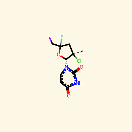 C[C@@]1(Cl)C[C@@](F)(CI)O[C@H]1n1ccc(=O)[nH]c1=O